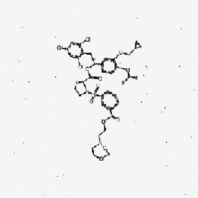 O=C(OCCN1CCOCC1)c1cccc(S(=O)(=O)N2CCSC2C(=O)O[C@@H](Cc2c(Cl)c[n+]([O-])cc2Cl)c2ccc(OC(F)F)c(OCC3CC3)c2)c1